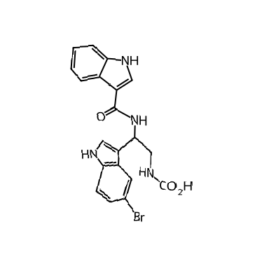 O=C(O)NCC(NC(=O)c1c[nH]c2ccccc12)c1c[nH]c2ccc(Br)cc12